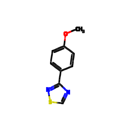 COc1ccc(-c2ncsn2)cc1